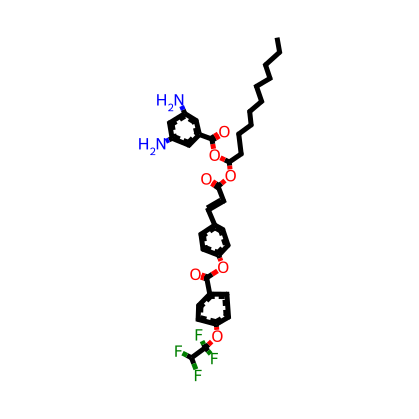 CCCCCCCCCCC(OC(=O)/C=C/c1ccc(OC(=O)c2ccc(OC(F)(F)C(F)F)cc2)cc1)OC(=O)c1cc(N)cc(N)c1